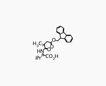 CC(C)[C@H](NC(=O)[C@H](C)CC(=O)OCC1c2ccccc2-c2ccccc21)C(=O)O